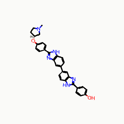 CN1CC[C@@H](Oc2ccc(-c3nc4cc(-c5ccc6[nH]c(-c7ccc(O)cc7)nc6c5)ccc4[nH]3)cc2)C1